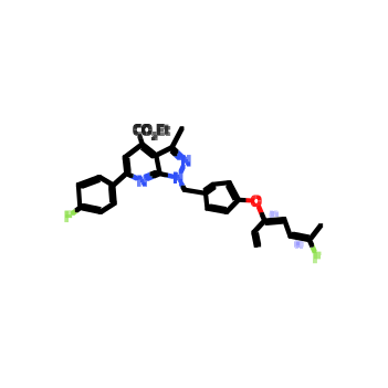 C=C/C(=C\C=C(/C)F)Oc1ccc(Cn2nc(C)c3c(C(=O)OCC)cc(-c4ccc(F)cc4)nc32)cc1